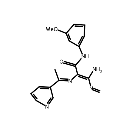 C=N/C(N)=C(\N=C(/C)c1cccnc1)C(=O)Nc1cccc(OC)c1